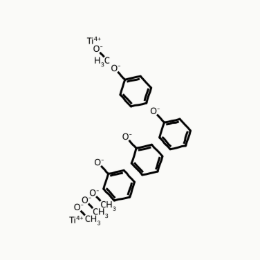 C[O-].C[O-].C[O-].C[O-].[O-]c1ccccc1.[O-]c1ccccc1.[O-]c1ccccc1.[O-]c1ccccc1.[Ti+4].[Ti+4]